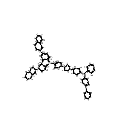 c1ccc(-c2ccc(N(c3ccccc3)c3ccc(-c4ccc(-c5ccc(-n6c7ccc(-c8ccc9ccccc9c8)cc7c7cc(-c8ccc9ccccc9c8)ccc76)cc5)cc4)cc3)cc2)cc1